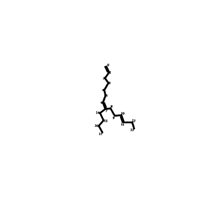 C=CCCCCC=C(CCC=CCC)CCCC